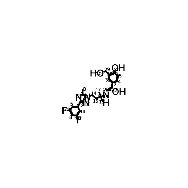 Cc1nc(-c2cc(F)cc(F)c2)nn1CCC(C)(C)NCC(O)c1ccc(O)c(CO)c1